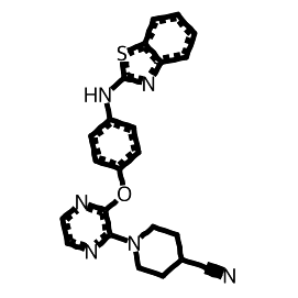 N#CC1CCN(c2nccnc2Oc2ccc(Nc3nc4ccccc4s3)cc2)CC1